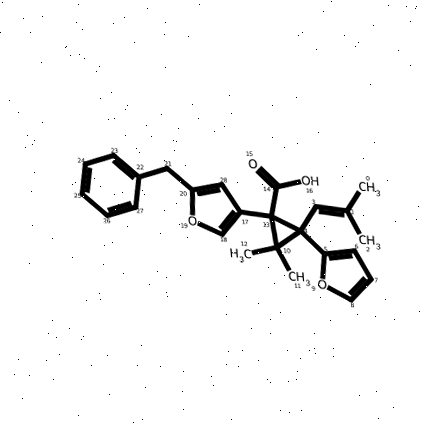 CC(C)=CC1(c2ccco2)C(C)(C)C1(C(=O)O)c1coc(Cc2ccccc2)c1